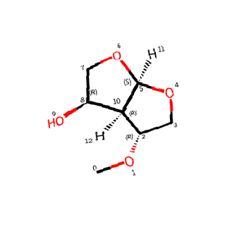 CO[C@H]1CO[C@@H]2OC[C@H](O)[C@@H]21